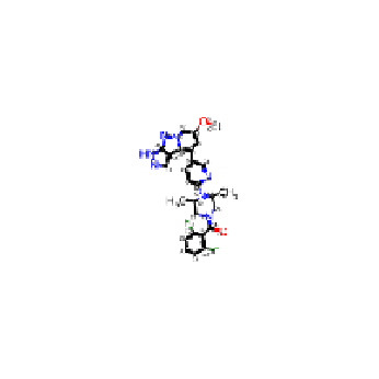 CCOc1cc(-c2ccc(N3C(C)CN(C(=O)c4c(F)cccc4Cl)CC3C)nc2)c2c3cn[nH]c3nn2c1